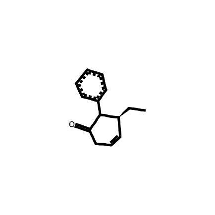 CC[C@H]1C=CCC(=O)C1c1ccccc1